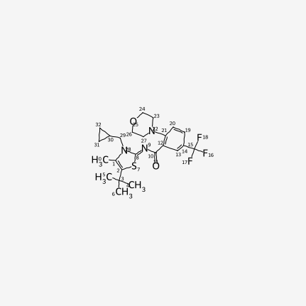 Cc1c(C(C)(C)C)s/c(=N\C(=O)c2cc(C(F)(F)F)ccc2N2CCOCC2)n1CC1CC1